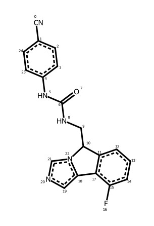 N#Cc1ccc(NC(=O)NCC2c3cccc(F)c3-c3cncn32)cc1